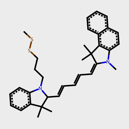 CSSCCCN1c2ccccc2C(C)(C)C1/C=C/C=C/C=C1/N(C)c2ccc3ccccc3c2C1(C)C